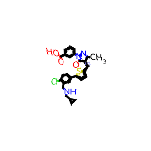 CC1=NN(c2cccc(C(=O)O)c2)C(=O)/C1=C\c1ccc(-c2ccc(Cl)c(CNCC3CC3)c2)s1